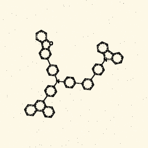 c1cc(-c2ccc(N(c3ccc(-c4ccc5c(c4)oc4ccccc45)cc3)c3ccc(-c4cc5ccccc5c5ccccc45)cc3)cc2)cc(-c2ccc(-n3c4ccccc4c4ccccc43)cc2)c1